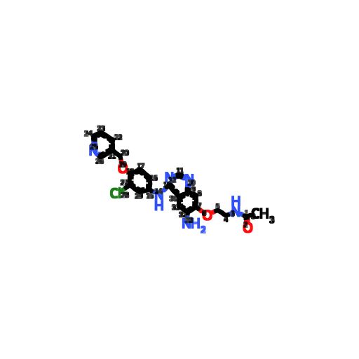 CC(=O)NCCOc1cc2ncnc(Nc3ccc(OCc4cccnc4)c(Cl)c3)c2cc1N